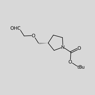 CC(C)(C)OC(=O)N1CC[C@@H](COCC=O)C1